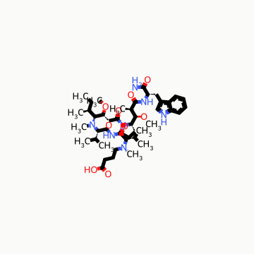 CC[C@H](C)[C@@H]([C@@H](CC(=O)N1CCC[C@H]1[C@H](OC)[C@@H](C)C(=O)N[C@@H](Cc1c[nH]c2ccccc12)C(N)=O)OC)N(C)[C@H](C(=O)NC(=O)[C@H](C(C)C)N(C)CCCC(=O)O)C(C)C